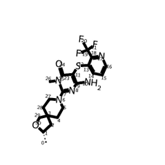 C[C@H]1CC2(CCN(c3nc(N)c(Sc4cccnc4C(F)(F)F)c(=O)n3C)CC2)CO1